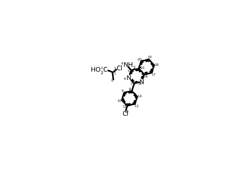 CC(Cl)C(=O)O.Nc1nc(-c2ccc(Cl)cc2)nc2ccccc12